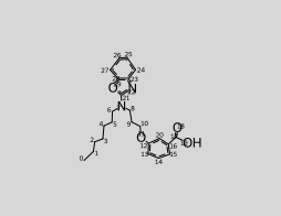 CCCCCCCN(CCCOc1cccc(C(=O)O)c1)c1nc2ccccc2o1